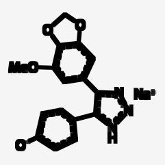 COc1cc(-c2nn[nH]c2-c2ccc([O-])cc2)cc2c1OCO2.[Na+]